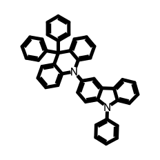 c1ccc(-n2c3ccccc3c3cc(N4c5ccccc5C(c5ccccc5)(c5ccccc5)c5ccccc54)ccc32)cc1